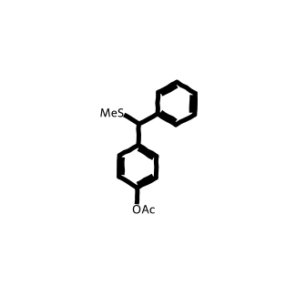 CSC(c1ccccc1)c1ccc(OC(C)=O)cc1